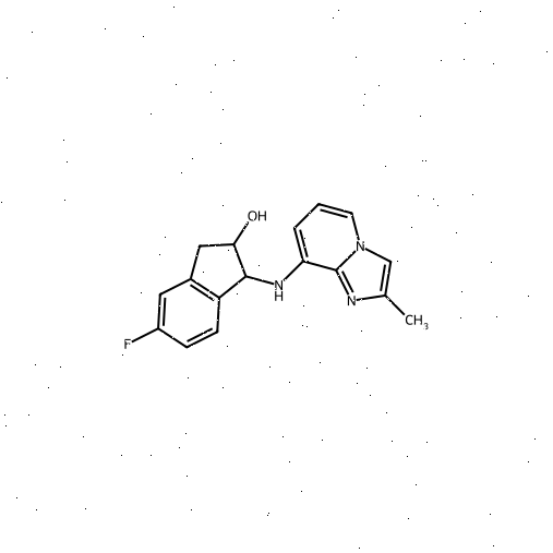 Cc1cn2cccc(NC3c4ccc(F)cc4CC3O)c2n1